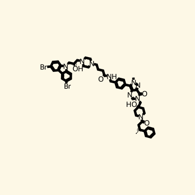 C[C@H](CC(=O)N1CCC(O)(Cn2cnc3c(-c4ccc(CNC(=O)CCCN5CCN(C[C@@H](O)Cn6c7ccc(Br)cc7c7cc(Br)ccc76)CC5)cc4)n(C)nc3c2=O)CC1)c1ccccc1